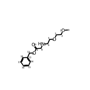 COCCOCCNCC(=O)OCc1ccccc1